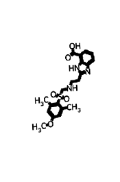 COc1cc(C)c(S(=O)(=O)CNCCc2nc3cccc(C(=O)O)c3[nH]2)c(C)c1